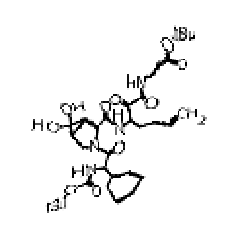 C=CCCC(NC(=O)[C@@H]1C2C(CN1C(=O)C(NC(=O)OC(C)(C)C)C1CCCCC1)C2(O)O)C(=O)C(=O)NCCC(=O)OC(C)(C)C